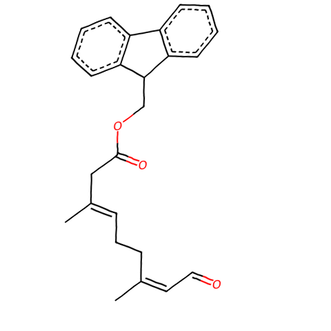 CC(=CCC/C(C)=C\C=O)CC(=O)OCC1c2ccccc2-c2ccccc21